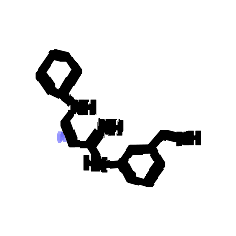 N=Cc1cccc(NC(=N)/C=C\Nc2ccccc2)c1